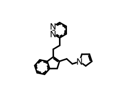 C1=CCN(CCC2=C(CCc3cccnn3)c3ccccc3C2)C1